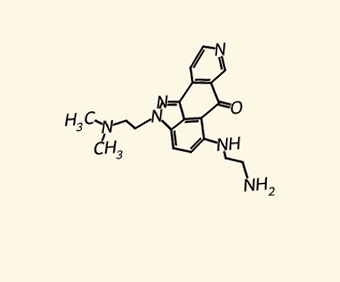 CN(C)CCn1nc2c3c(c(NCCN)ccc31)C(=O)c1cnccc1-2